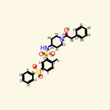 Cc1ccc(S(=O)(=O)c2ccccc2)cc1S(=O)(=O)NC1CCN(C(=O)Cc2ccccc2)CC1